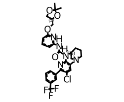 CC1(C)OC[C@H](COc2cccc(NC(=O)N3c4nc(-c5cccc(C(F)(F)F)c5)c(Cl)cc4N4CCC[C@H]3C4)n2)O1